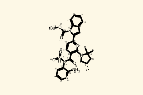 C[C@@H]1CN(c2nc(-c3cc4ccccc4n3C(=O)OC(C)(C)C)ccc2C(=O)N(c2cccnc2N)[SH](=O)=O)C(C)(C)C1